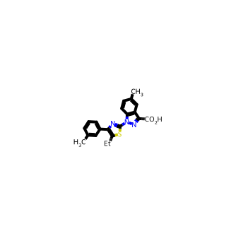 CCc1sc(-n2nc(C(=O)O)c3cc(C)ccc32)nc1-c1cccc(C)c1